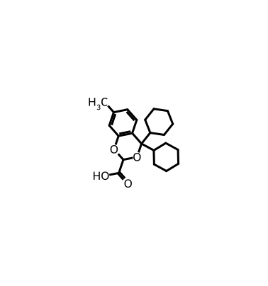 Cc1ccc2c(c1)OC(C(=O)O)OC2(C1CCCCC1)C1CCCCC1